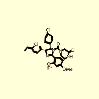 C=C(/C=C\C(Cl)=C/C)[C@@H]1N=C(c2ccc(OC)cc2OC(C)C)N(C(=O)N2CCNC(=O)C2)[C@@H]1c1ccc(Cl)cc1